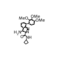 COc1ccc(-c2cccc3c(N)c(C(=O)NC4CCC4)nnc23)c(OC)c1OC